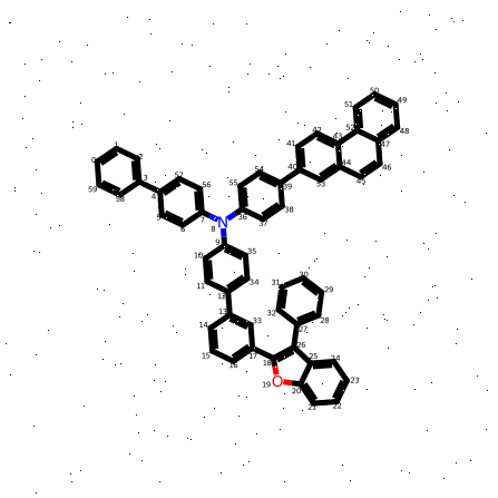 c1ccc(-c2ccc(N(c3ccc(-c4cccc(-c5oc6ccccc6c5-c5ccccc5)c4)cc3)c3ccc(-c4ccc5c(ccc6ccccc65)c4)cc3)cc2)cc1